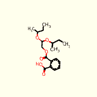 CCC(C)OC(COC(=O)c1ccccc1C(=O)O)OC(C)CC